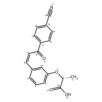 C[C@@H](Oc1cccc(/C=C\C(=O)c2ccc(C#N)cc2)c1)C(=O)O